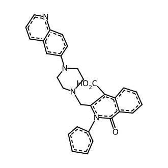 O=C(O)c1c(CN2CCN(c3ccc4ncccc4c3)CC2)n(-c2ccccc2)c(=O)c2ccccc12